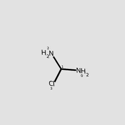 NC(N)Cl